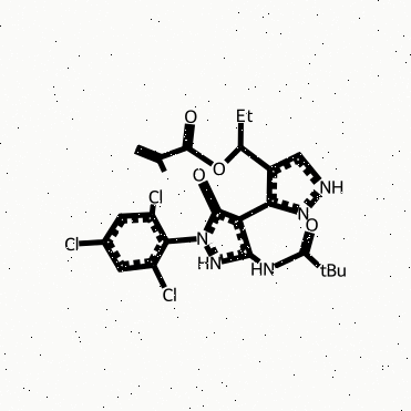 C=C(C)C(=O)OC(CC)c1c[nH]nc1-c1c(NC(=O)C(C)(C)C)[nH]n(-c2c(Cl)cc(Cl)cc2Cl)c1=O